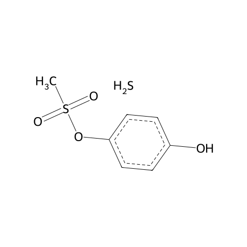 CS(=O)(=O)Oc1ccc(O)cc1.S